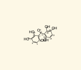 O=C(c1c(O)ccc(O)c1O)c1c(O)ccc(O)c1O